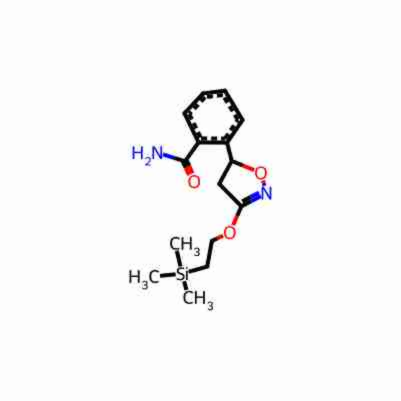 C[Si](C)(C)CCOC1=NOC(c2ccccc2C(N)=O)C1